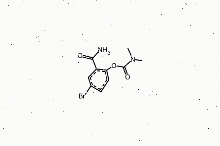 CN(C)C(=O)Oc1ccc(Br)cc1C(N)=O